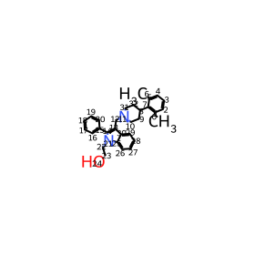 Cc1cccc(C)c1C1CCN(Cc2c(-c3ccccc3)n(CCO)c3ccccc23)CC1